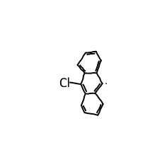 Clc1c2ccccc2[c]c2ccccc12